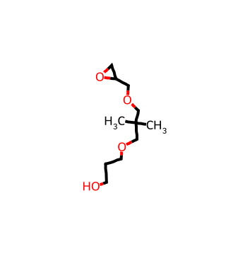 CC(C)(COCCCO)COCC1CO1